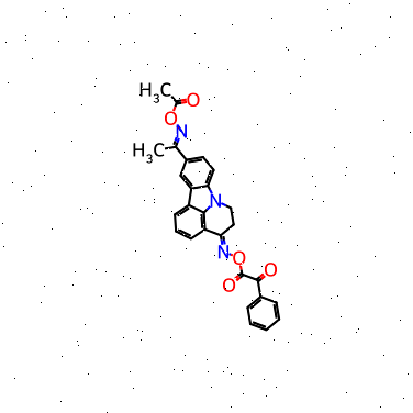 CC(=O)O/N=C(\C)c1ccc2c(c1)c1cccc3c1n2CC/C3=N\OC(=O)C(=O)c1ccccc1